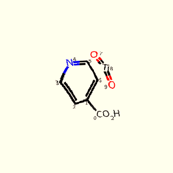 O=C(O)c1ccncc1.[O]=[Ti]=[O]